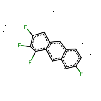 Fc1[c]c2cc3c(F)c(F)c(F)[c]c3cc2cc1